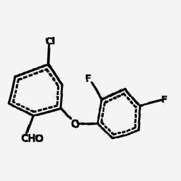 O=Cc1ccc(Cl)cc1Oc1ccc(F)cc1F